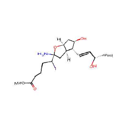 CCCCC[C@H](O)/C=C/[C@@H]1[C@H]2CC(N)(C(I)CCCC(=O)OC)O[C@H]2C[C@H]1O